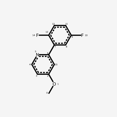 COc1ccnc(-c2cc(F)ccc2F)c1